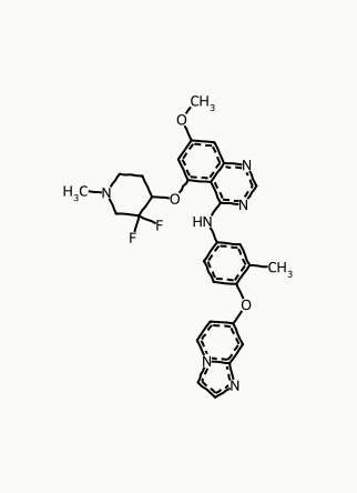 COc1cc(OC2CCN(C)CC2(F)F)c2c(Nc3ccc(Oc4ccn5ccnc5c4)c(C)c3)ncnc2c1